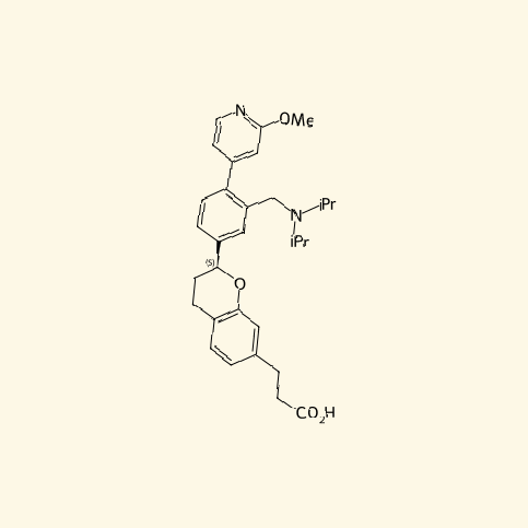 COc1cc(-c2ccc([C@@H]3CCc4ccc(CCC(=O)O)cc4O3)cc2CN(C(C)C)C(C)C)ccn1